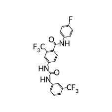 O=C(Nc1cccc(C(F)(F)F)c1)Nc1ccc(C(=O)Nc2ccc(F)cc2)c(C(F)(F)F)c1